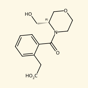 O=C(O)Cc1ccccc1C(=O)N1CCOC[C@H]1CO